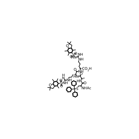 CC(=O)N[C@H](CSC(c1ccccc1)(c1ccccc1)c1ccccc1)C(=O)N[C@H](C)C(=O)N[C@H](CCCNC(=N)NS(=O)(=O)c1c(C)c(C)c2c(c1C)CC(C)(C)O2)C(=O)N[C@H](CCCNC(=N)NS(=O)(=O)c1c(C)c(C)c2c(c1C)CC(C)(C)O2)C(=O)O